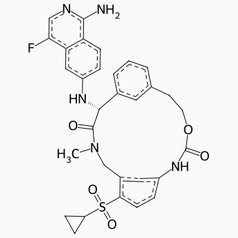 CN1Cc2cc(ccc2S(=O)(=O)C2CC2)NC(=O)OCCc2cccc(c2)[C@@H](Nc2ccc3c(N)ncc(F)c3c2)C1=O